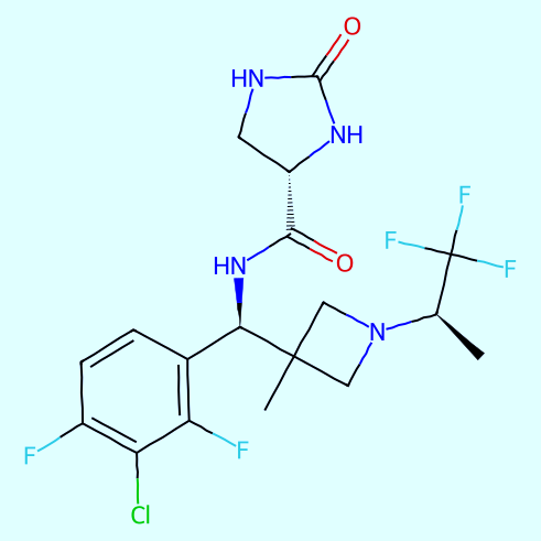 C[C@@H](N1CC(C)([C@H](NC(=O)[C@@H]2CNC(=O)N2)c2ccc(F)c(Cl)c2F)C1)C(F)(F)F